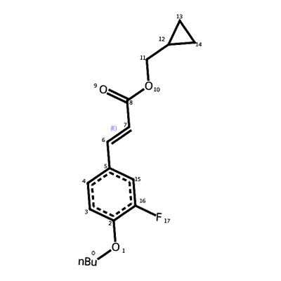 CCCCOc1ccc(/C=C/C(=O)OCC2CC2)cc1F